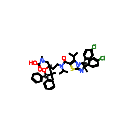 CC(C)C1=C(C(=O)N(CC[C@H](CN(C)C(=O)O)O[Si](c2ccccc2)(c2ccccc2)C(C)(C)C)C(C)C)SC2=N[C@@](C)(c3ccc(Cl)cc3)[C@@H](c3ccc(Cl)cc3)N21